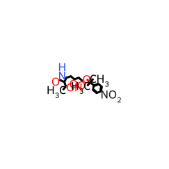 CC(O)C1C(=O)NC1CC(=O)CC(=O)OC(C)(C)c1ccc([N+](=O)[O-])cc1